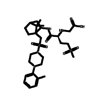 Cc1ccccc1N1CCN(S(=O)(=O)CC23CCC(CC2NC(=O)[C@H](CCS(C)(=O)=O)NCC(=O)O)C3(C)C)CC1